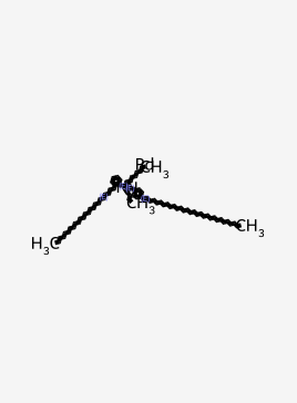 CCCCCCCCCCCCCCCCCCC/C=C/CCCc1ccccc1/N=C(CCCCCCCC)/C(CCCC)=N/c1ccc(/C=C/CCCCCCCCCCCCCCCCCCCCCCCCCCCC)cc1.[Pd]